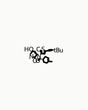 CC1=CC[C@H](C(=O)N(c2cc(C#CC(C)(C)C)sc2C(=O)O)[C@H]2CCCN(C)C2=O)CC1